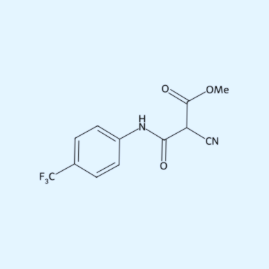 COC(=O)C(C#N)C(=O)Nc1ccc(C(F)(F)F)cc1